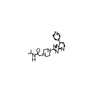 CC(C)NC(=O)CN1CCN(c2nc3nccc(-c4ccncc4)n3n2)CC1